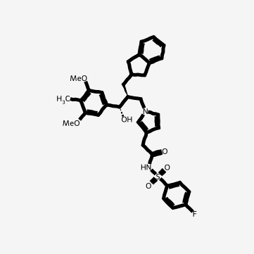 COc1cc([C@@H](O)[C@@H](CC2Cc3ccccc3C2)Cn2ccc(CC(=O)NS(=O)(=O)c3ccc(F)cc3)c2)cc(OC)c1C